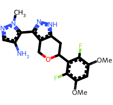 COc1cc(OC)c(F)c(C2Cc3[nH]nc(-c4c(N)cnn4C)c3CO2)c1F